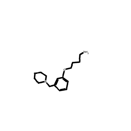 NCCCCOc1cccc(CN2CCCCC2)c1